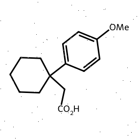 COc1ccc(C2(CC(=O)O)CCCCC2)cc1